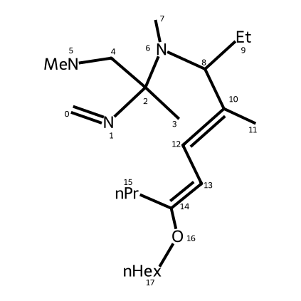 C=NC(C)(CNC)N(C)C(CC)/C(C)=C/C=C(\CCC)OCCCCCC